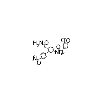 CN(C)C(=O)c1ccc(-c2cc(NC(=O)C3(c4ccc5c(c4)OCO5)CC3)ccc2CC(N)=O)cc1